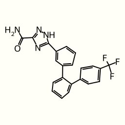 NC(=O)c1n[nH]c(-c2cccc(-c3ccccc3-c3ccc(C(F)(F)F)cc3)c2)n1